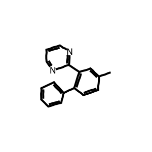 Cc1ccc(-c2ccccc2)c(-c2ncccn2)c1